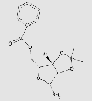 B[C@@H]1O[C@H](COC(=O)c2ccccc2)[C@@H]2OC(C)(C)OC12